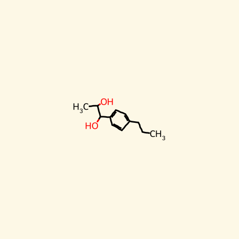 CCCc1ccc(C(O)C(C)O)cc1